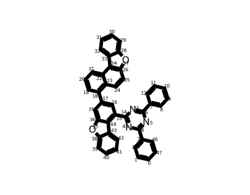 c1ccc(-c2nc(-c3ccccc3)nc(-c3cc(-c4cccc5c4ccc4oc6ccccc6c45)cc4oc5ccccc5c34)n2)cc1